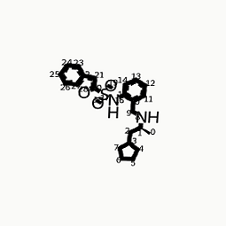 C[C@@H](CC1CCCC1)NCc1ccccc1NS(=O)(=O)c1cc2ccccc2o1